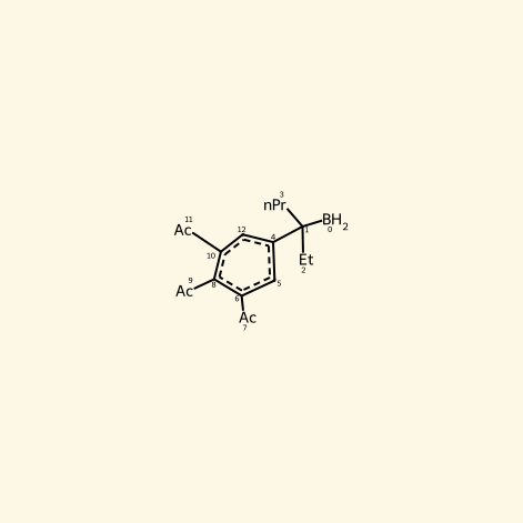 BC(CC)(CCC)c1cc(C(C)=O)c(C(C)=O)c(C(C)=O)c1